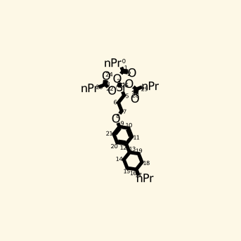 CCCC(=O)O[Si](CCCOc1ccc(C2CCC(CCC)CC2)cc1)(OC(=O)CCC)OC(=O)CCC